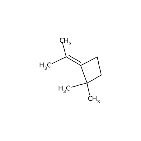 CC(C)=C1CCC1(C)C